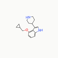 c1cc(OCC2CC2)c2c(C3CCNCC3)c[nH]c2c1